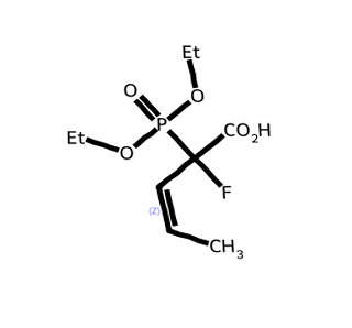 C/C=C\C(F)(C(=O)O)P(=O)(OCC)OCC